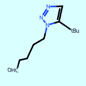 CC(C)(C)c1cnnn1CCCCC=O